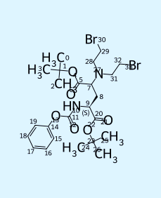 CC(C)(C)OC(=O)C(C[C@H](NC(=O)Oc1ccccc1)C(=O)OC(C)(C)C)N(CCBr)CCBr